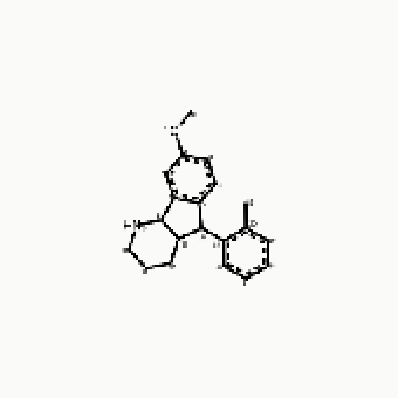 COc1ccc2c(c1)C1NCCCC1C2c1ccccc1C